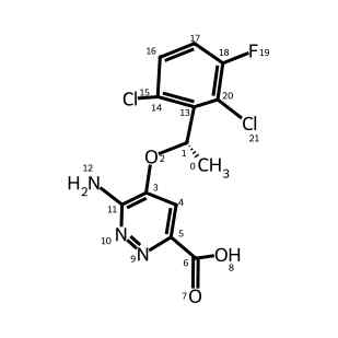 C[C@H](Oc1cc(C(=O)O)nnc1N)c1c(Cl)ccc(F)c1Cl